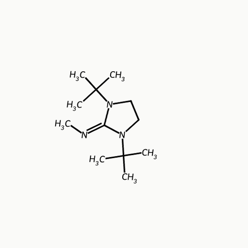 CN=C1N(C(C)(C)C)CCN1C(C)(C)C